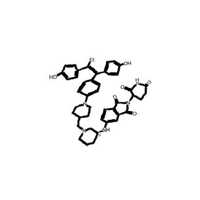 CCC(=C(c1ccc(O)cc1)c1ccc(N2CCC(CN3CCC[C@H](Nc4ccc5c(c4)C(=O)N(C4CCC(=O)NC4=O)C5=O)C3)CC2)cc1)c1ccc(O)cc1